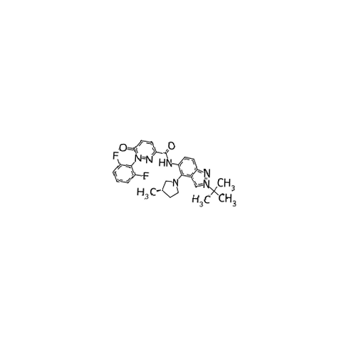 C[C@@H]1CCN(c2c(NC(=O)c3ccc(=O)n(-c4c(F)cccc4F)n3)ccc3nn(C(C)(C)C)cc23)C1